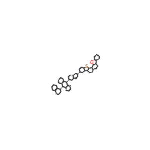 c1ccc2c(-c3c4ccccc4c(-c4ccc5cc(-c6ccc7sc8c(ccc9ccc%10c%11ccccc%11oc%10c98)c7c6)ccc5c4)c4ccccc34)cccc2c1